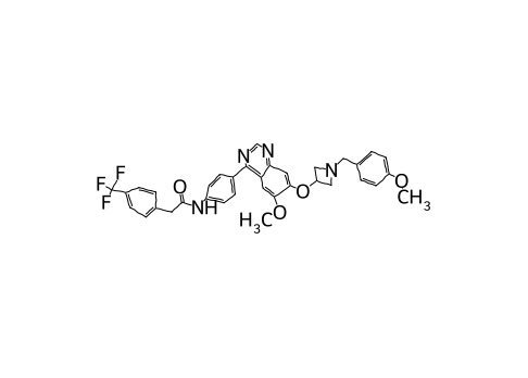 COc1ccc(CN2CC(Oc3cc4ncnc(-c5ccc(NC(=O)Cc6ccc(C(F)(F)F)cc6)cc5)c4cc3OC)C2)cc1